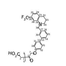 CC(C)(CC(=O)O)C(=O)COc1ccc(-c2cccc(CN3CCCc4ccc(C(F)(F)F)cc43)c2)cc1